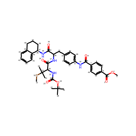 COC(=O)c1ccc(C(=O)Nc2ccc(CC(NC(=O)C(NC(=O)OC(C)(C)C)C(C)(C)SC)C(=O)N[C@@H]3CCCc4ccccc43)cc2)cc1